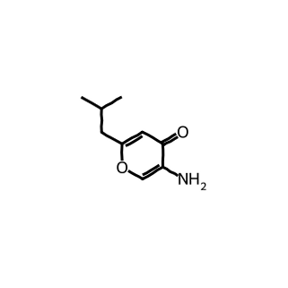 CC(C)Cc1cc(=O)c(N)co1